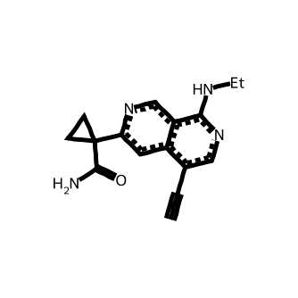 C#Cc1cnc(NCC)c2cnc(C3(C(N)=O)CC3)cc12